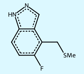 CSCc1c(F)ccc2[nH]ncc12